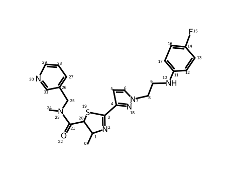 CC1N=C(c2ccn(CCNc3ccc(F)cc3)n2)SC1C(=O)N(C)Cc1cccnc1